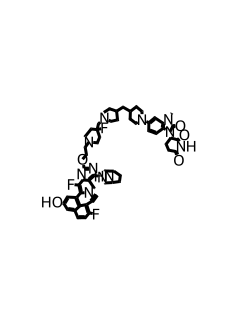 C#Cc1c(F)ccc2cc(O)cc(-c3ncc4c(N5CC6CCC(C5)N6)nc(OCCN5CCC(F)(CN6CCC(CC7CCN(c8ccc9c(c8)n(C)c(=O)n9C8CCC(=O)NC8=O)CC7)CC6)CC5)nc4c3F)c12